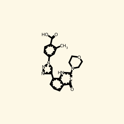 Cc1cc(-n2cc(-c3cccc4c(=O)cc(N5CCOCC5)[nH]c34)nn2)ccc1C(=O)O